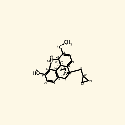 COC1=CC=C2C3Cc4ccc(O)c5c4[C@@]2(CCN3CC2CC2)[C@H]1O5